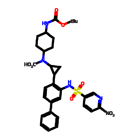 CC(C)(C)OC(=O)NC1CCC(N(C(=O)O)C2CC2c2ccc(-c3ccccc3)cc2NS(=O)(=O)c2ccc([N+](=O)[O-])nc2)CC1